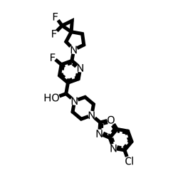 OC(c1cnc(N2CCC3(C2)CC3(F)F)c(F)c1)N1CCN(c2nc3nc(Cl)ccc3o2)CC1